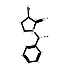 C[C@H](c1ccccc1)N1CCC(Br)C1=O